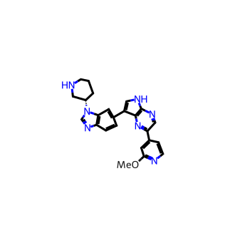 COc1cc(-c2cnc3[nH]cc(-c4ccc5ncn([C@H]6CCCNC6)c5c4)c3n2)ccn1